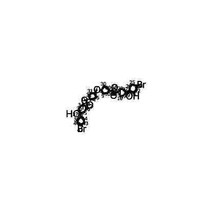 O=S(=O)(c1ccc(Oc2ccc(S(=O)(=O)N3CCC(O)(c4ccc(Br)cc4)CC3)cc2)cc1)N1CCC(O)(c2ccc(Br)cc2)CC1